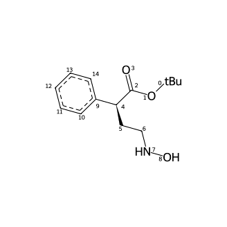 CC(C)(C)OC(=O)[C@@H](CCNO)c1ccccc1